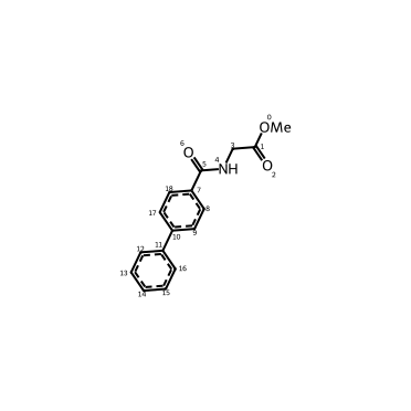 COC(=O)CNC(=O)c1ccc(-c2ccccc2)cc1